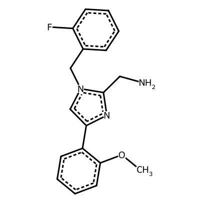 COc1ccccc1-c1cn(Cc2ccccc2F)c(CN)n1